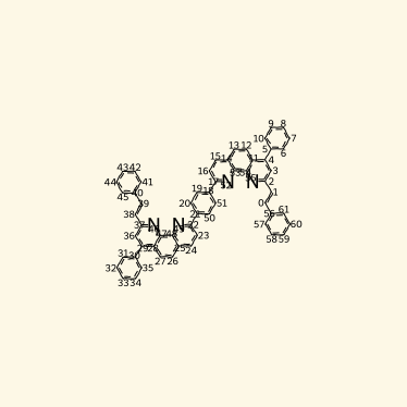 C(=Cc1cc(-c2ccccc2)c2ccc3ccc(-c4ccc(-c5ccc6ccc7c(-c8ccccc8)cc(C=Cc8ccccc8)nc7c6n5)cc4)nc3c2n1)c1ccccc1